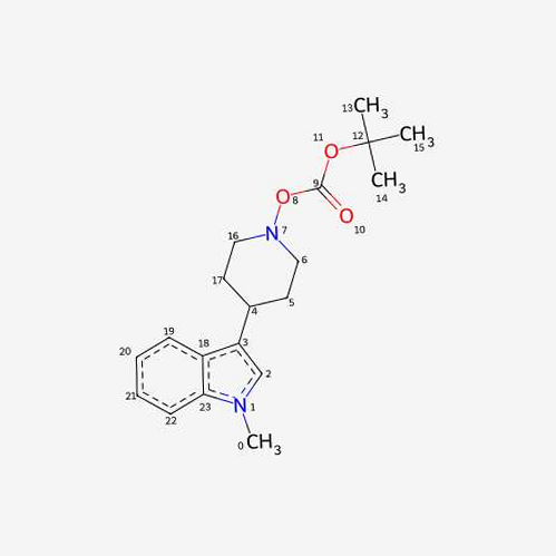 Cn1cc(C2CCN(OC(=O)OC(C)(C)C)CC2)c2ccccc21